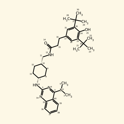 CN(C)c1nc(N[C@H]2CC[C@@H](CNC(=O)CCc3cc(C(C)(C)C)c(O)c(C(C)(C)C)c3)CC2)nc2ccccc12